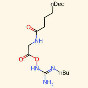 CCCCCCCCCCCCCC(=O)NCC(=O)ONC(N)=NCCCC